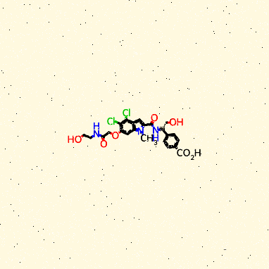 Cn1c(C(=O)N[C@H](CO)c2ccc(C(=O)O)cc2)cc2c(Cl)c(Cl)c(OCC(=O)NCCO)cc21